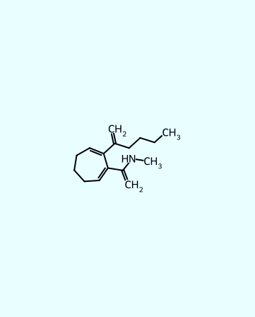 C=C(CCCC)C1=CCCCC=C1C(=C)NC